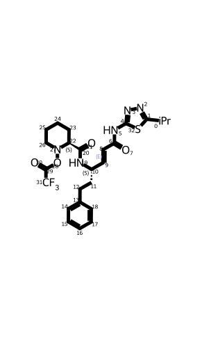 CC(C)c1nnc(NC(=O)/C=C/[C@H](CCc2ccccc2)NC(=O)[C@@H]2CCCCN2OC(=O)C(F)(F)F)s1